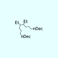 CCCCCCCCCCCCCC(CC)C(CC)CCCCCCCCCCCCC